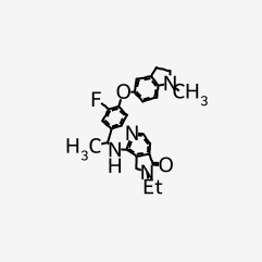 CCN1Cc2c(ccnc2NC(C)c2ccc(Oc3ccc4c(c3)CCN4C)c(F)c2)C1=O